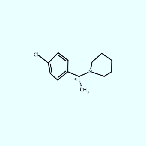 C[C@H](c1ccc(Cl)cc1)N1CCCCC1